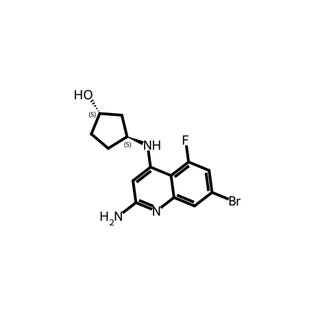 Nc1cc(N[C@H]2CC[C@H](O)C2)c2c(F)cc(Br)cc2n1